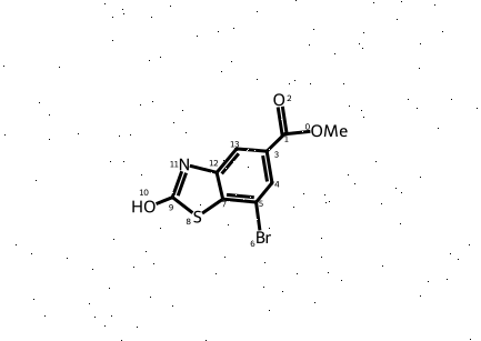 COC(=O)c1cc(Br)c2sc(O)nc2c1